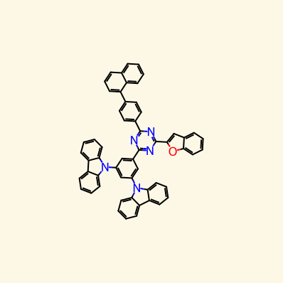 c1ccc2oc(-c3nc(-c4ccc(-c5cccc6ccccc56)cc4)nc(-c4cc(-n5c6ccccc6c6ccccc65)cc(-n5c6ccccc6c6ccccc65)c4)n3)cc2c1